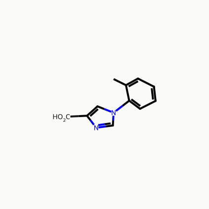 Cc1ccccc1-n1cnc(C(=O)O)c1